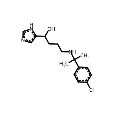 CC(C)(NCCCC(O)c1cnc[nH]1)c1ccc(Cl)cc1